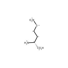 N[C@H](CCS[N+](=O)[O-])C(=O)O